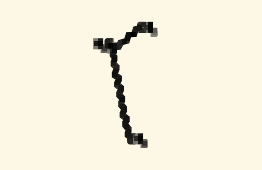 CCCCCCCCCCCCCCCCCCN(C)CCCCCCC